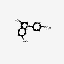 COc1ccc2c(N)cn(-c3ccc(C(=O)O)cc3)c2c1